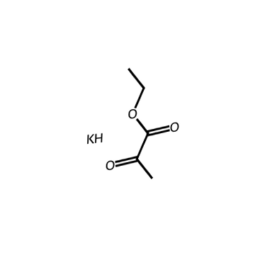 CCOC(=O)C(C)=O.[KH]